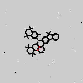 Cc1cc2c(cc1N(c1cc3c(cc1C)C(C)(C)CCC3(C)C)c1cc3c(cc1-c1ccccc1)-c1ccccc1C3(C)C)C(C)(C)CCC2(C)C